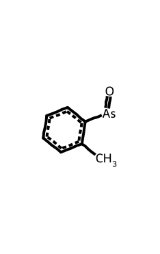 Cc1ccccc1[As]=O